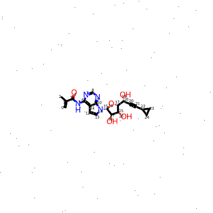 C=C(C)C(=O)Nc1ncnc2c1ccn2[C@@H]1O[C@H]([C@H](O)C#CC2CC2)[C@@H](O)[C@H]1O